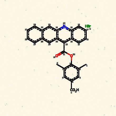 Br.Cc1cc(C(=O)O)cc(C)c1OC(=O)c1c2ccccc2nc2cc3ccccc3cc12